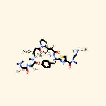 CC[C@H](C)[C@@H]([C@@H](CC(=O)N1CCC[C@H]1[C@H](OC)[C@@H](C)C(=O)N[C@@H](Cc1ccccc1)c1nc(C(=O)N(C)CCNC(=O)O)cs1)OC)N(C)C(=O)[C@@H](NC(=O)[C@H](C(C)C)N(C)C)C(C)C